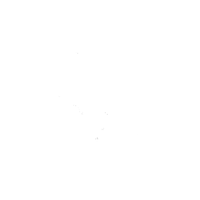 C=C1/C=C\C=C/CC2(c3ccc(N(c4ccccc4)c4cccc5c4Oc4ccccc4-c4ccccc4-5)cc3-c3ccccc31)c1ccccc1-c1cc3ccccc3cc12